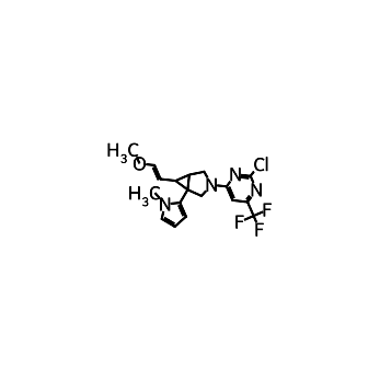 CO/C=C/C1C2CN(c3cc(C(F)(F)F)nc(Cl)n3)CC12c1cccn1C